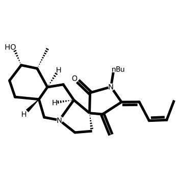 C=C1/C(=C\C=C/C)N(CCCC)C(=O)[C@@]12CCN1C[C@@H]3CC[C@H](O)[C@H](C)[C@H]3C[C@H]12